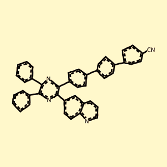 N#Cc1ccc(-c2ccc(-c3ccc(-c4nc(-c5ccccc5)c(-c5ccccc5)nc4-c4ccc5ncccc5c4)cc3)cc2)cc1